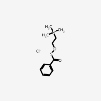 C[N+](C)(C)CCOSC(=O)c1ccccc1.[Cl-]